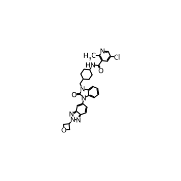 Cc1ncc(Cl)cc1C(=O)NC1CCC(Cn2c(=O)n(-c3ccc4nn(C5COC5)nc4c3)c3ccccc32)CC1